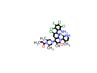 C=CC(=O)N1[C@H](C)CN(c2c(C#N)c(=O)n(C3=C(C)C=CNC3C(C)C)c3nc(-c4c(N)c(Cl)c(Cl)c(F)c4Cl)c(Cl)cc23)C[C@@H]1C